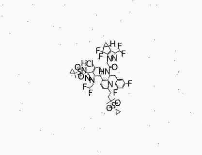 CC1(S(=O)(=O)Nc2nn(CC(F)F)c3c(-c4ccc(CCC(C)(C)S(=O)(=O)C5CC5)nc4[C@H](Cc4cc(F)cc(F)c4)NC(=O)Cn4nc(C(F)F)c5c4C(F)(F)C4C[C@H]54)ccc(Cl)c23)CC1